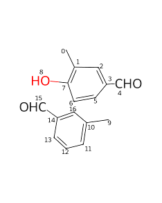 Cc1cc(C=O)ccc1O.Cc1cccc(C=O)c1